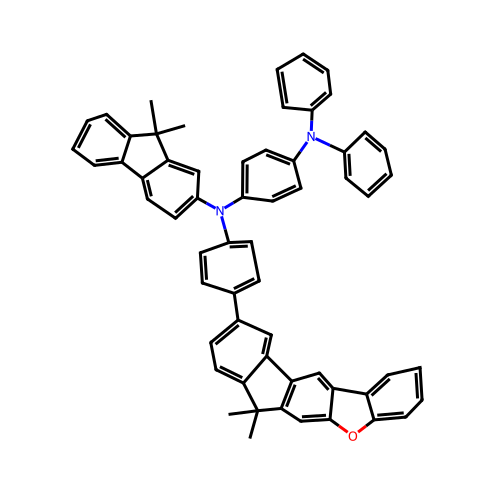 CC1(C)c2ccccc2-c2ccc(N(c3ccc(-c4ccc5c(c4)-c4cc6c(cc4C5(C)C)oc4ccccc46)cc3)c3ccc(N(c4ccccc4)c4ccccc4)cc3)cc21